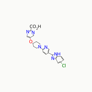 O=C(O)c1ncc(OC2CCN(c3ccc(-c4nc5cc(Cl)ccc5[nH]4)cn3)CC2)cn1